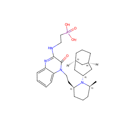 C[C@H]1CCC[C@@H](CCn2c(=O)c(NCCP(=O)(O)O)nc3ccccc32)N1[C@H]1C[C@@H]2CCC[C@@H](C2)C1